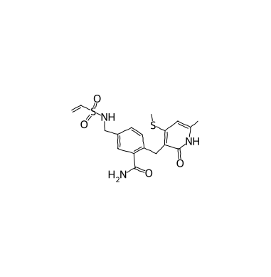 C=CS(=O)(=O)NCc1ccc(Cc2c(SC)cc(C)[nH]c2=O)c(C(N)=O)c1